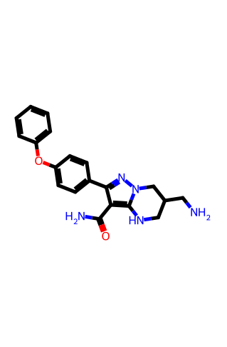 NCC1CNc2c(C(N)=O)c(-c3ccc(Oc4ccccc4)cc3)nn2C1